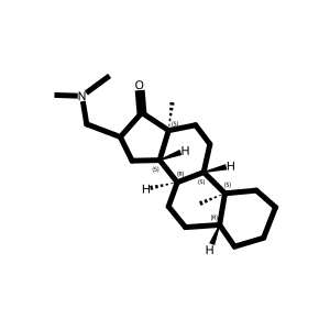 CN(C)CC1C[C@H]2[C@@H]3CC[C@H]4CCCC[C@]4(C)[C@H]3CC[C@]2(C)C1=O